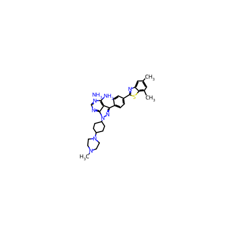 Cc1cc(C)c2sc(-c3ccc(-c4nn(C5CCC(N6CCN(C)CC6)CC5)c5ncnc(N)c45)cc3)nc2c1.N